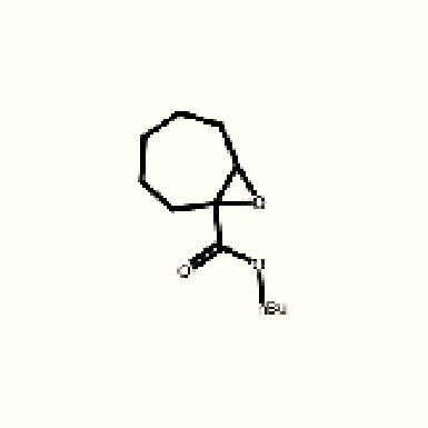 CCCCOC(=O)C12CCCCCC1O2